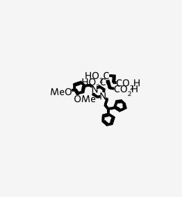 COc1ccc(CN2CCN(CCC(c3ccccc3)c3ccccc3)CC2)cc1OC.O=C(O)/C=C/C(=O)O.O=C(O)/C=C/C(=O)O